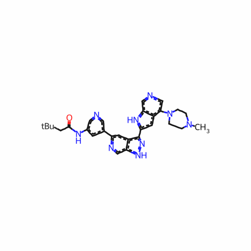 CN1CCN(c2cncc3[nH]c(-c4n[nH]c5cnc(-c6cncc(NC(=O)CC(C)(C)C)c6)cc45)cc23)CC1